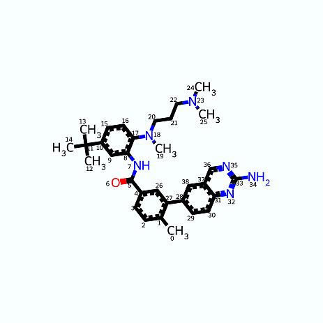 Cc1ccc(C(=O)Nc2cc(C(C)(C)C)ccc2N(C)CCCN(C)C)cc1-c1ccc2nc(N)ncc2c1